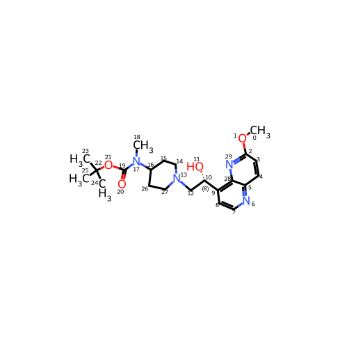 COc1ccc2nccc([C@@H](O)CN3CCC(N(C)C(=O)OC(C)(C)C)CC3)c2n1